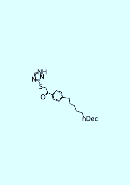 CCCCCCCCCCCCCCCc1ccc(C(=O)CSc2nc[nH]n2)cc1